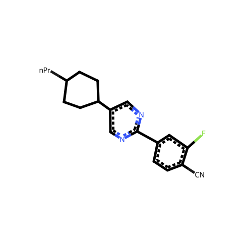 CCCC1CCC(c2cnc(-c3ccc(C#N)c(F)c3)nc2)CC1